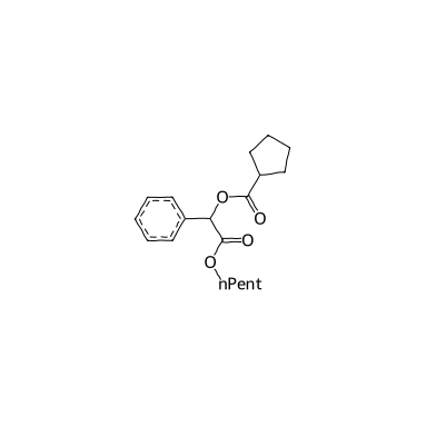 CCCCCOC(=O)C(OC(=O)C1CCCC1)c1ccccc1